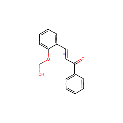 O=C(/C=C/c1ccccc1OCO)c1ccccc1